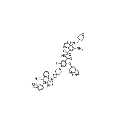 COc1ccc(CN2CCN(C3CC4(CCN(c5cc(Oc6cnc7[nH]ccc7c6)c(C(=O)NS(=O)(=O)c6cc(N)c(NCC7CCOCC7)c7scnc67)cc5F)CC4)C3)[C@H](c3ccccc3C(C)C)C2)cc1